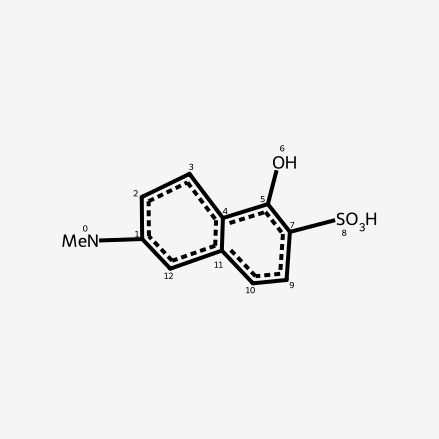 CNc1ccc2c(O)c(S(=O)(=O)O)ccc2c1